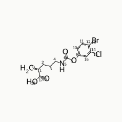 C=C(CCCNC(=O)Oc1ccc(Br)c(Cl)c1)C(=O)O